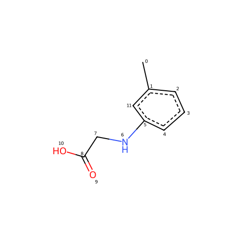 Cc1cccc(NCC(=O)O)c1